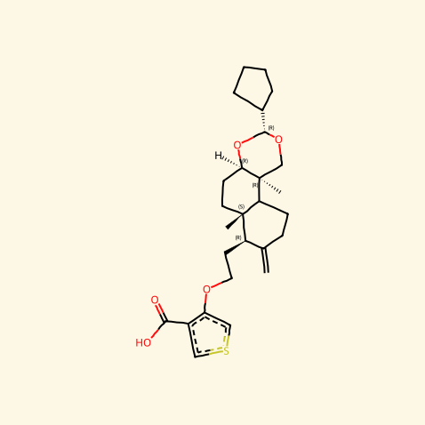 C=C1CCC2[C@]3(C)CO[C@@H](C4CCCC4)O[C@@H]3CC[C@@]2(C)[C@@H]1CCOc1cscc1C(=O)O